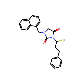 O=C1CN(Cc2cccc3ccccc23)C(=O)N1C(S)CCc1ccccc1